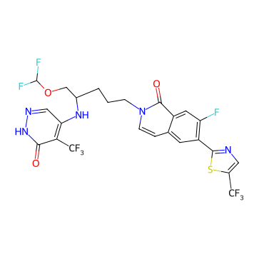 O=c1[nH]ncc(NC(CCCn2ccc3cc(-c4ncc(C(F)(F)F)s4)c(F)cc3c2=O)COC(F)F)c1C(F)(F)F